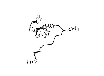 C=CC(=O)O.C=CC(=O)O.CC(CO)CCCCCCO